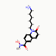 CCN(O)C(=O)c1ccc2c(ccc(=O)n2CCCCCCN)c1